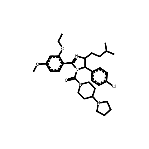 CCOc1cc(OC)ccc1C1=NC(CCC(C)C)C(c2ccc(Cl)cc2)N1C(=O)N1CCC(N2CCCC2)CC1